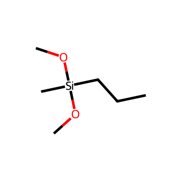 CCC[Si](C)(OC)OC